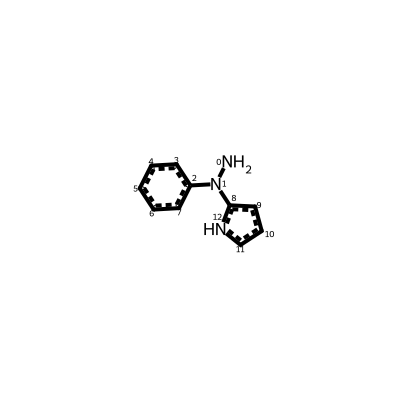 NN(c1ccccc1)c1ccc[nH]1